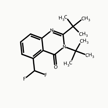 CC(C)(C)c1nc2cccc(C(F)F)c2c(=O)n1C(C)(C)C